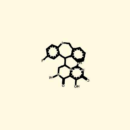 CC(C)N1CC(C2c3c#cccc3CSc3ccc(F)cc32)n2c(O)nc(=O)c(O)c2C1=O